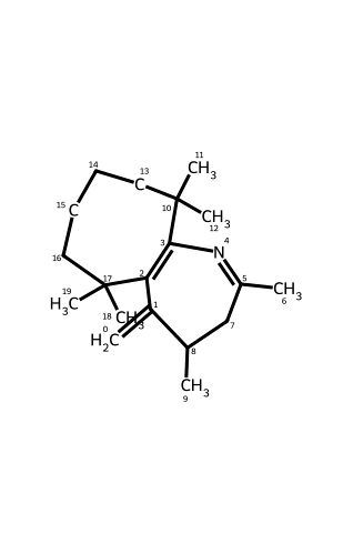 C=C1C2=C(N=C(C)CC1C)C(C)(C)CCCCC2(C)C